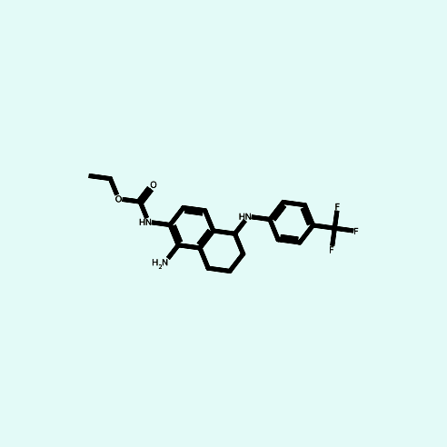 CCOC(=O)Nc1ccc2c(c1N)CCCC2Nc1ccc(C(F)(F)F)cc1